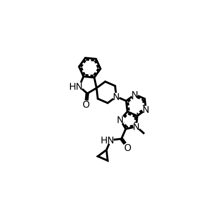 Cn1c(C(=O)NC2CC2)nc2c(N3CCC4(CC3)C(=O)Nc3ccccc34)ncnc21